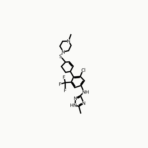 Cc1nc(Nc2cc(Cl)c(C3C=CC(SN4CCN(C)CC4)CC3)c(C(F)(F)F)c2)n[nH]1